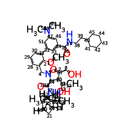 COc1c(CN2O[C@@H](CO)[C@H]([C@H](C)O)[C@H]2C(=O)N[C@H]2C[C@H]3C[C@@H]([C@@H]2C)C3(C)C)cccc1-c1cc(C(=O)NCCC2CCCCC2)cc(N(C)C)c1